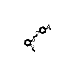 CCOc1ccccc1OCCOc1ccc(N(C)C)cc1